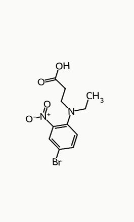 CCN(CCC(=O)O)c1ccc(Br)cc1[N+](=O)[O-]